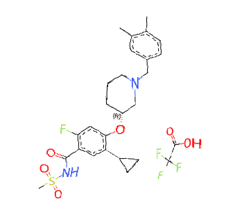 Cc1ccc(CN2CCC[C@@H](Oc3cc(F)c(C(=O)NS(C)(=O)=O)cc3C3CC3)C2)cc1C.O=C(O)C(F)(F)F